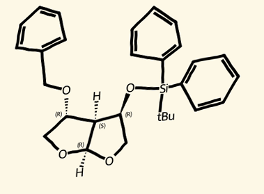 CC(C)(C)[Si](O[C@H]1CO[C@H]2OC[C@H](OCc3ccccc3)[C@H]21)(c1ccccc1)c1ccccc1